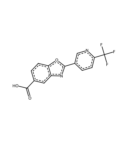 O=C(O)c1ccc2oc(-c3ccc(C(F)(F)F)nc3)nc2c1